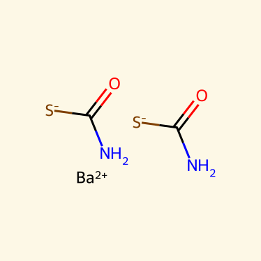 NC(=O)[S-].NC(=O)[S-].[Ba+2]